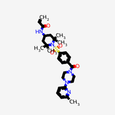 C=CC(=O)NC1CC(C)(C)N(S(=O)(=O)c2ccc(C(=O)N3CCN(c4cccc(C)n4)CC3)cc2)C(C)(C)C1